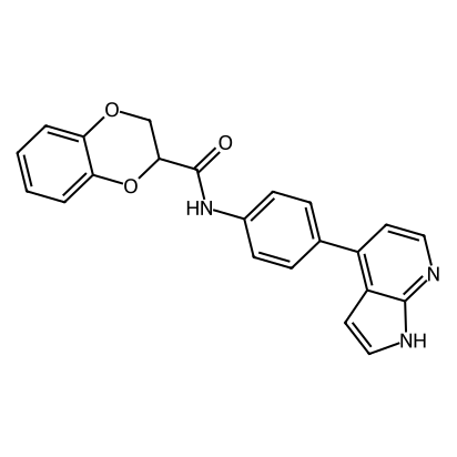 O=C(Nc1ccc(-c2ccnc3[nH]ccc23)cc1)C1COc2ccccc2O1